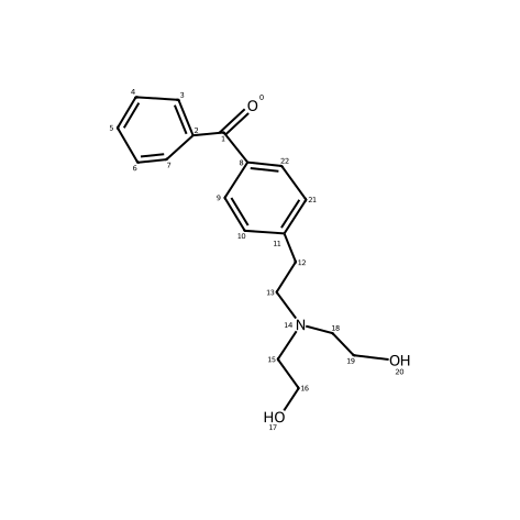 O=C(c1ccccc1)c1ccc(CCN(CCO)CCO)cc1